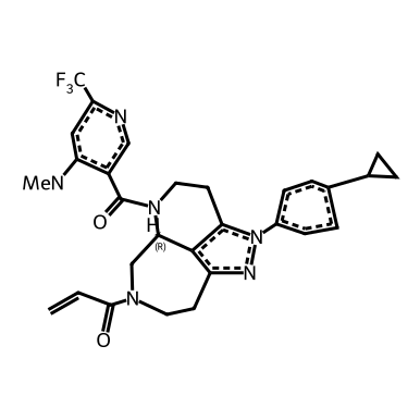 C=CC(=O)N1CCc2nn(-c3ccc(C4CC4)cc3)c3c2[C@H](C1)N(C(=O)c1cnc(C(F)(F)F)cc1NC)CC3